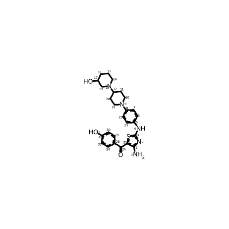 Nc1nc(Nc2ccc(N3CCC(N4CCCC(O)C4)CC3)cc2)sc1C(=O)c1ccc(O)cc1